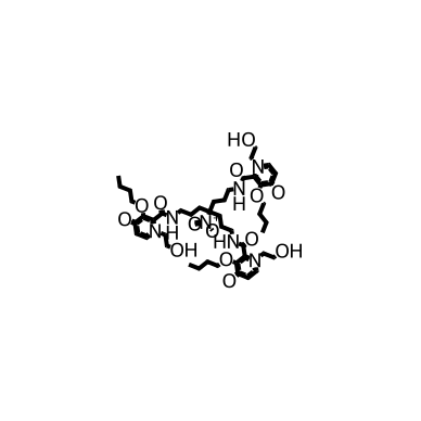 CCCCOc1c(C(=O)NCCCC(CCCNC(=O)c2c(OCCCC)c(=O)ccn2CCO)(CCCNC(=O)c2c(OCCCC)c(=O)ccn2CCO)[N+](=O)[O-])n(CCO)ccc1=O